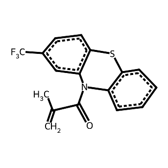 C=C(C)C(=O)N1c2ccccc2Sc2ccc(C(F)(F)F)cc21